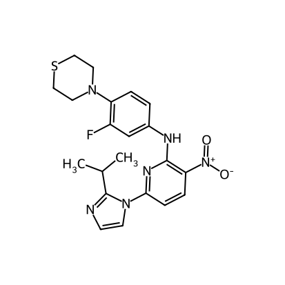 CC(C)c1nccn1-c1ccc([N+](=O)[O-])c(Nc2ccc(N3CCSCC3)c(F)c2)n1